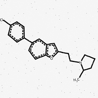 CC1CCCN1CCc1cc2cc(-c3ccc(Cl)cc3)ccc2o1